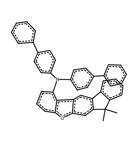 CC1(C)c2ccccc2-c2cc3c(cc21)oc1cccc(N(c2ccc(-c4ccccc4)cc2)c2ccc(-c4ccccc4)cc2)c13